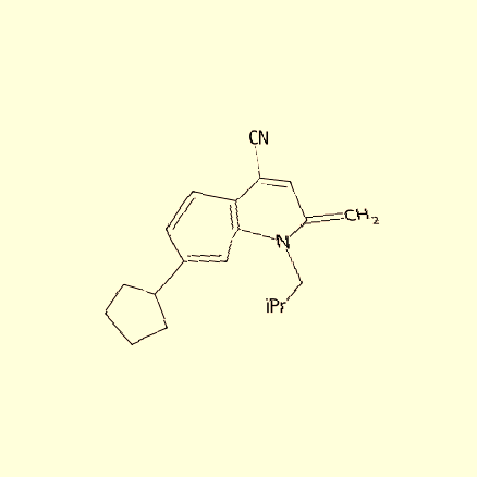 C=C1C=C(C#N)c2ccc(C3CCCC3)cc2N1CC(C)C